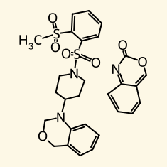 CS(=O)(=O)c1ccccc1S(=O)(=O)N1CCC(N2COCc3ccccc32)CC1.O=c1nc2ccccc2co1